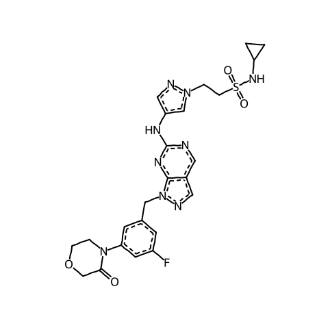 O=C1COCCN1c1cc(F)cc(Cn2ncc3cnc(Nc4cnn(CCS(=O)(=O)NC5CC5)c4)nc32)c1